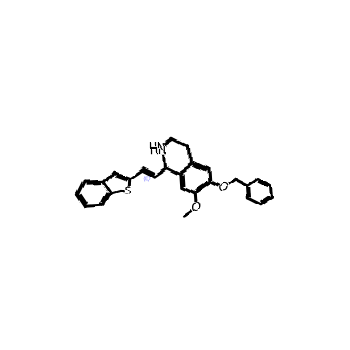 COc1cc2c(cc1OCc1ccccc1)CCNC2/C=C/c1cc2ccccc2s1